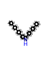 c1ccc(-c2ccc(-c3ccc(-c4ccc5[nH]cc(-c6ccc(-c7ccc(-c8ccccc8)cc7)cc6)c5c4)cc3)cc2)cc1